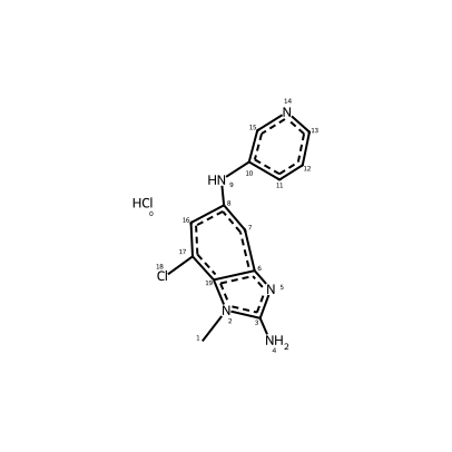 Cl.Cn1c(N)nc2cc(Nc3cccnc3)cc(Cl)c21